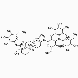 C=C1C[C@@]23CC[C@@H]4[C@](CO)(C(=O)OC5OC(CO)C(O)C(O)C5O)CCC[C@@]4(C)[C@@H]2CCC1(OC1OC(CO)C(O)C(OC2OC(CO)C(O)C(O)C2O)C1OC1OC(CO)C(O)C(O)C1O)C3